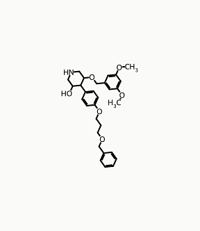 COc1cc(COC2CNCC(O)C2c2ccc(OCCCOCc3ccccc3)cc2)cc(OC)c1